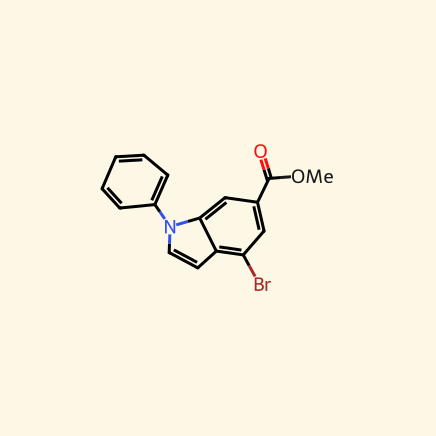 COC(=O)c1cc(Br)c2ccn(-c3ccccc3)c2c1